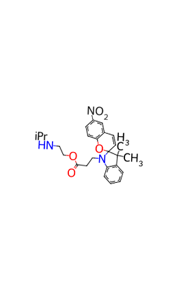 CC(C)NCCOC(=O)CCN1c2ccccc2C(C)(C)C12C=Cc1cc([N+](=O)[O-])ccc1O2